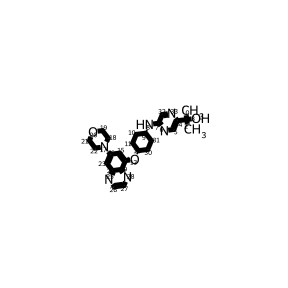 CC(C)(O)c1cnc(N[C@H]2CC[C@@H](Oc3cc(N4CCOCC4)cc4nccnc34)CC2)cn1